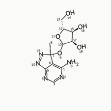 Nc1ncnc2c1C(I)(OC1O[C@H](CO)[C@@H](O)[C@H]1O)N=N2